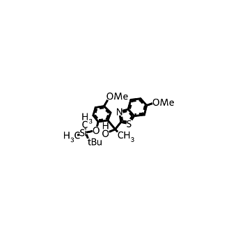 COc1ccc(O[Si](C)(C)C(C)(C)C)c(C(C)(O)c2nc3ccc(OC)cc3s2)c1